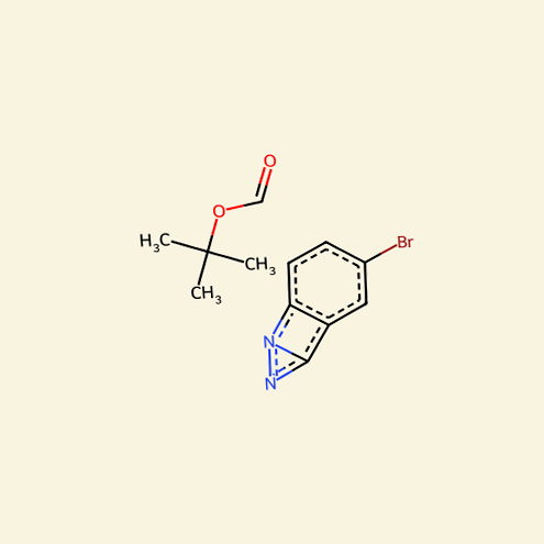 Brc1ccc2c(c1)c1nn2-1.CC(C)(C)OC=O